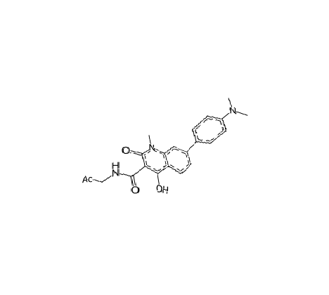 CC(=O)CNC(=O)c1c(O)c2ccc(-c3ccc(N(C)C)cc3)cc2n(C)c1=O